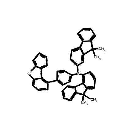 CC1(C)c2ccccc2-c2ccc(N(c3ccc(-c4cccc5oc6ccccc6c45)cc3)c3cccc4c3-c3ccccc3C4(C)C)cc21